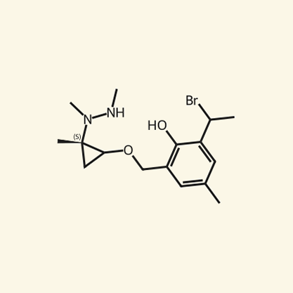 CNN(C)[C@@]1(C)CC1OCc1cc(C)cc(C(C)Br)c1O